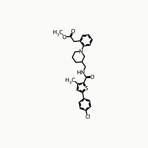 COC(=O)Cc1ccccc1N1CCCC(CNC(=O)c2sc(-c3ccc(Cl)cc3)cc2C)C1